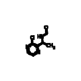 CC(NC=O)c1nccnc1Cl